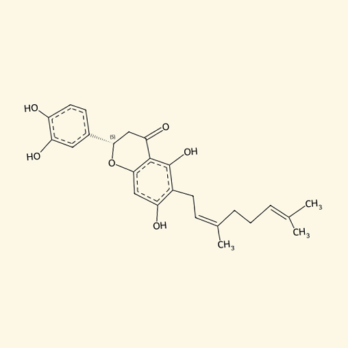 CC(C)=CCCC(C)=CCc1c(O)cc2c(c1O)C(=O)C[C@@H](c1ccc(O)c(O)c1)O2